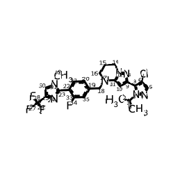 CC(C)n1ncc(Cl)c1-c1cc2n(n1)CCCN2Cc1ccc(-c2nc(C(F)(F)F)cn2C)c(F)c1